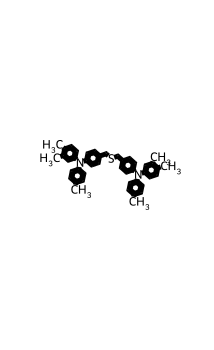 Cc1ccc(N(c2ccc(CSCc3ccc(N(c4ccc(C)cc4)c4ccc(C)c(C)c4)cc3)cc2)c2ccc(C)c(C)c2)cc1